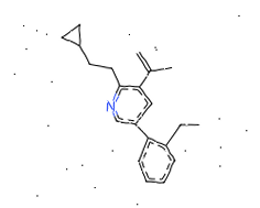 C=C(C)c1cc(-c2ccccc2CC)cnc1CCC1CC1